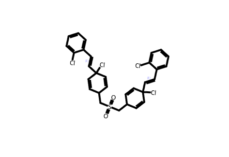 O=S(=O)(CC1C=CC(Cl)(/C=C/c2ccccc2Cl)C=C1)CC1C=CC(Cl)(/C=C/c2ccccc2Cl)C=C1